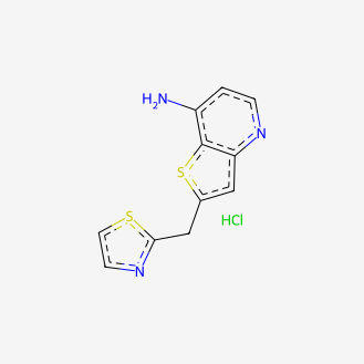 Cl.Nc1ccnc2cc(Cc3nccs3)sc12